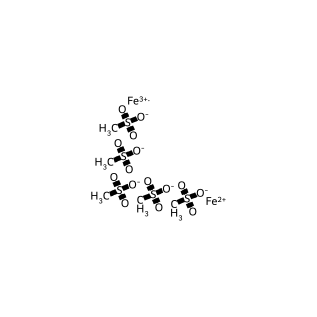 CS(=O)(=O)[O-].CS(=O)(=O)[O-].CS(=O)(=O)[O-].CS(=O)(=O)[O-].CS(=O)(=O)[O-].[Fe+2].[Fe+3]